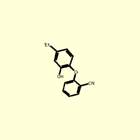 CCc1ccc(Oc2ccccc2C#N)c(O)c1